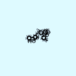 C[C@H]1C[C@]2(CCN1Cc1cc(-c3ccccc3F)c(O)cn1)CN(C)S(=O)(=O)N2c1cccc(F)c1